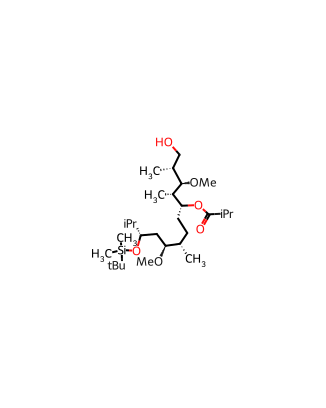 CO[C@@H]([C@@H](C)[C@@H](CC[C@H](C)[C@H](C[C@H](O[Si](C)(C)C(C)(C)C)C(C)C)OC)OC(=O)C(C)C)[C@H](C)CO